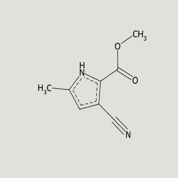 COC(=O)c1[nH]c(C)cc1C#N